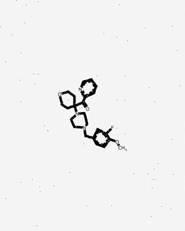 COc1ccc(CN2CCN(C3(C(=O)c4ccccn4)CCOCC3)CC2)cc1F